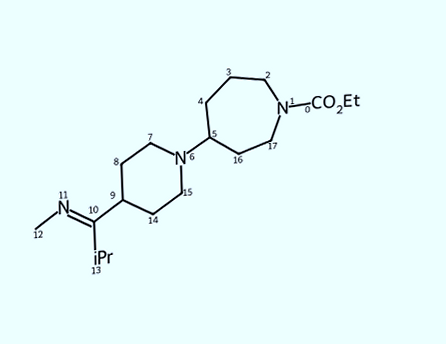 CCOC(=O)N1CCCC(N2CCC(/C(=N/C)C(C)C)CC2)CC1